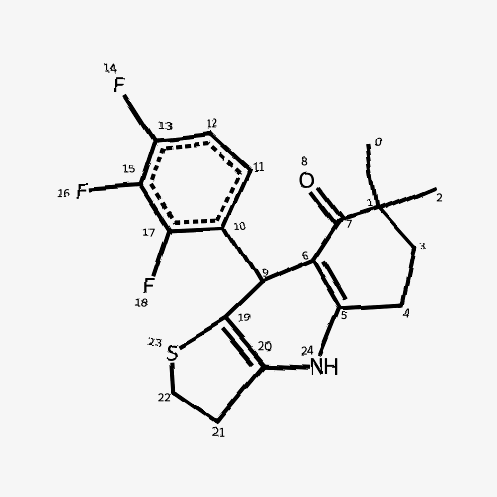 CC1(C)CCC2=C(C1=O)C(c1ccc(F)c(F)c1F)C1=C(CCS1)N2